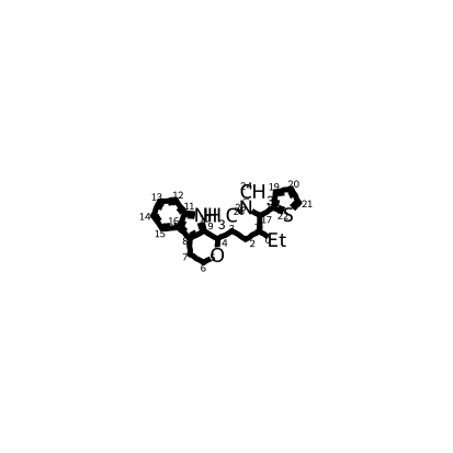 CCC(CCC1OCCc2c1[nH]c1ccccc21)C(c1cccs1)N(C)C